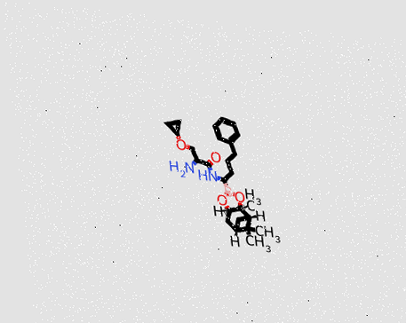 CC1(C)[C@@H]2C[C@H]3OB(C(CCCc4ccccc4)NC(=O)C(N)COC4CC4)O[C@@]3(C)[C@H]1C2